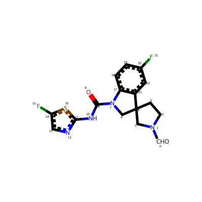 O=CN1CCC2(C1)CN(C(=O)Nc1ncc(F)s1)c1ccc(F)cc12